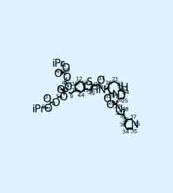 CC(C)OC(=O)OCOP(=O)(Cc1ccc2sc(C(=O)NC3CCC[C@H]4CC[C@@H](C(=O)N5CC(c6cccnc6)C5)N4C3=O)cc2c1)OCOC(=O)OC(C)C